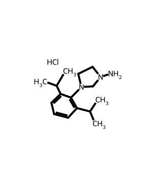 CC(C)c1cccc(C(C)C)c1N1CCN(N)C1.Cl